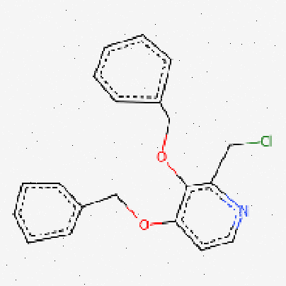 ClCc1nccc(OCc2ccccc2)c1OCc1ccccc1